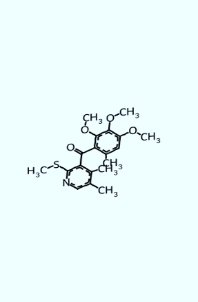 COc1cc(C)c(C(=O)c2c(SC)ncc(C)c2C)c(OC)c1OC